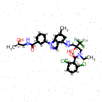 CCN(CC(O)(CNc1cc(C)cc2c1cnn2-c1cccc(C(=O)NC[C@@H](C)O)c1)C(F)(F)F)C(=O)c1c(Cl)cccc1Cl